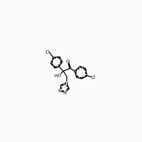 O=C(c1ccc(Cl)cc1)C(O)(Cn1cnnc1)c1ccc(Cl)cc1